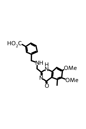 COc1cc2[nH]c(CNCc3cccc(C(=O)O)c3)nc(=O)c2c(C)c1OC